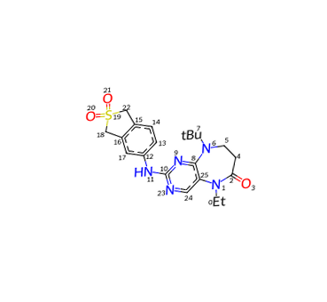 CCN1C(=O)CCN(C(C)(C)C)c2nc(Nc3ccc4c(c3)CS(=O)(=O)C4)ncc21